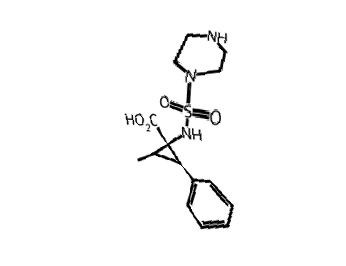 CC1[C@H](c2ccccc2)[C@]1(NS(=O)(=O)N1CCNCC1)C(=O)O